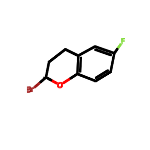 Fc1ccc2c(c1)CC[C](Br)O2